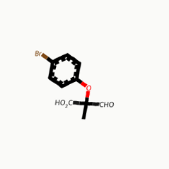 CC(C=O)(Oc1ccc(Br)cc1)C(=O)O